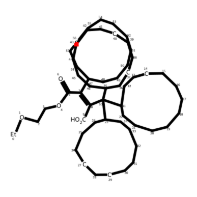 CCOCCOC(=O)C(=C(C(=O)O)C(C1CCCCCCCCCCC1)(C1CCCCCCCCCCC1)C1CCCCCCCCCCC1)C1CCCCCCCCCCC1